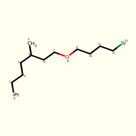 CC(C)CCCC(C)CCOCCCCBr